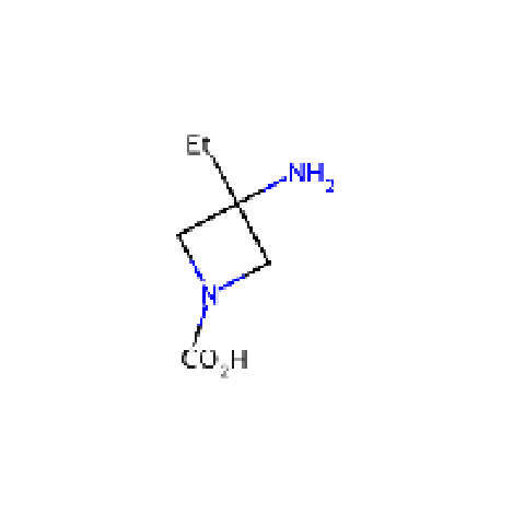 CCC1(N)CN(C(=O)O)C1